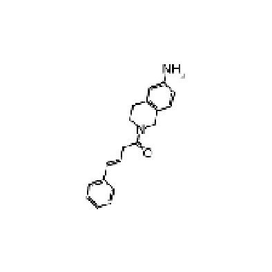 Nc1ccc2c(c1)CCN(C(=O)CC=Cc1ccccc1)C2